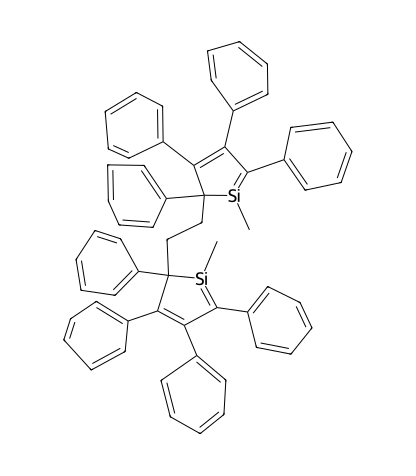 C[Si]1=C(c2ccccc2)C(c2ccccc2)=C(c2ccccc2)C1(CCC1(c2ccccc2)C(c2ccccc2)=C(c2ccccc2)C(c2ccccc2)=[Si]1C)c1ccccc1